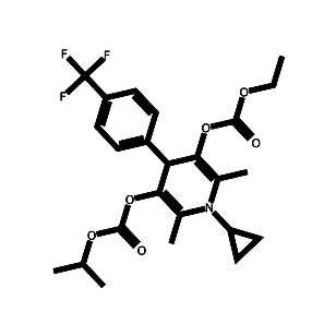 CCOC(=O)OC1=C(C)N(C2CC2)C(C)=C(OC(=O)OC(C)C)C1c1ccc(C(F)(F)F)cc1